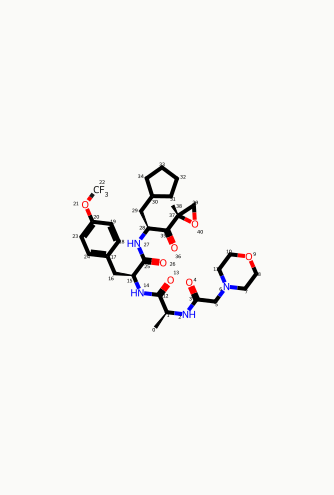 C[C@H](NC(=O)CN1CCOCC1)C(=O)N[C@@H](Cc1ccc(OC(F)(F)F)cc1)C(=O)N[C@@H](CC1CCCC1)C(=O)[C@]1(C)CO1